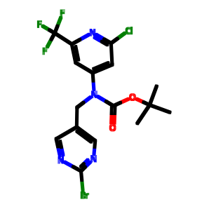 CC(C)(C)OC(=O)N(Cc1cnc(Br)nc1)c1cc(Cl)nc(C(F)(F)F)c1